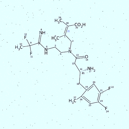 C/C(CN(CCNC(=N)C(C)(F)F)C(=O)C[C@H](N)Cc1cc(F)c(F)cc1C)=C(\C)C(=O)O